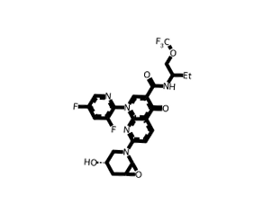 CCC(COC(F)(F)F)NC(=O)c1cn(-c2ncc(F)cc2F)c2nc(N3C[C@@H](O)CC4OC43)ccc2c1=O